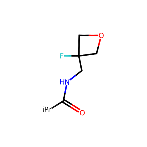 CC(C)C(=O)NCC1(F)COC1